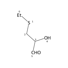 CCSCC(O)C=O